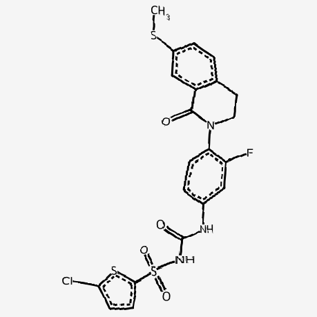 CSc1ccc2c(c1)C(=O)N(c1ccc(NC(=O)NS(=O)(=O)c3ccc(Cl)s3)cc1F)CC2